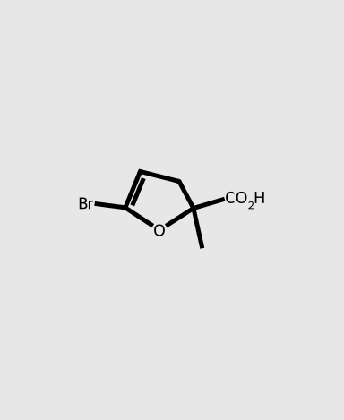 CC1(C(=O)O)CC=C(Br)O1